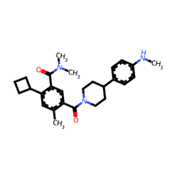 CNc1ccc(C2CCN(C(=O)c3cc(C(=O)N(C)C)c(C4CCC4)cc3C)CC2)cc1